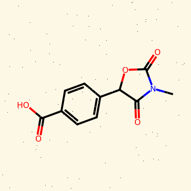 CN1C(=O)OC(c2ccc(C(=O)O)cc2)C1=O